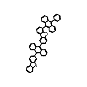 c1ccc(-c2c3ccccc3c(-c3cccc4c3oc3ccc(-c5c6ccccc6c(-c6ccc7c(c6)sc6ccccc67)c6ccccc56)cc34)c3ccccc23)cc1